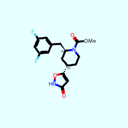 COC(=O)N1CC[C@H](c2cc(=O)[nH]o2)C[C@H]1Cc1cc(F)cc(F)c1